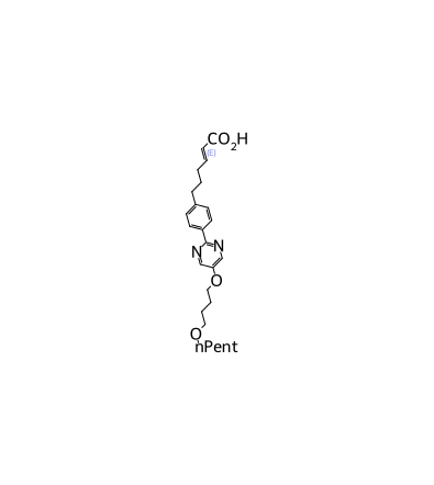 CCCCCOCCCCOc1cnc(-c2ccc(CCC/C=C/C(=O)O)cc2)nc1